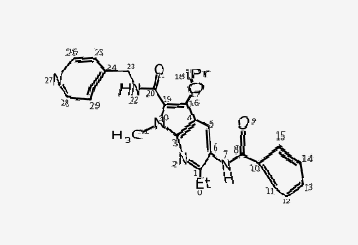 CCc1nc2c(cc1NC(=O)c1ccccc1)c(OC(C)C)c(C(=O)NCc1ccncc1)n2C